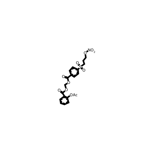 CC(=O)Oc1ccccc1C(=O)OCOC(=O)c1ccc(S(=O)(=O)CCCO[N+](=O)[O-])cc1